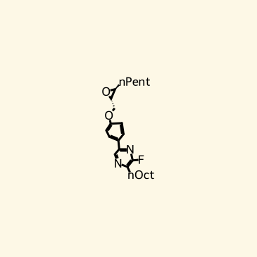 CCCCCCCCc1ncc(-c2ccc(OC[C@@H]3O[C@H]3CCCCC)cc2)nc1F